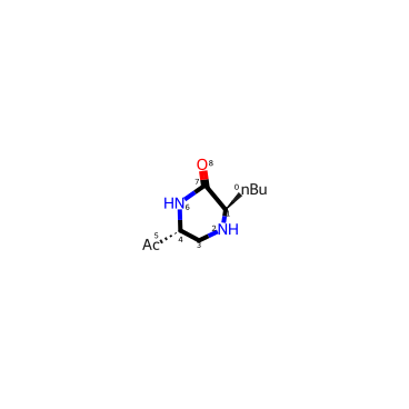 CCCC[C@H]1NC[C@H](C(C)=O)NC1=O